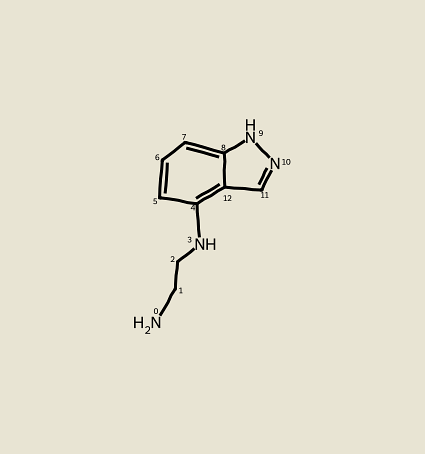 NCCNc1cccc2[nH]ncc12